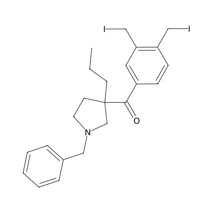 CCCC1(C(=O)c2ccc(CI)c(CI)c2)CCN(Cc2ccccc2)C1